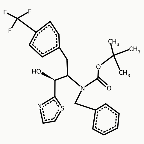 CC(C)(C)OC(=O)N(Cc1ccccc1)C(Cc1ccc(C(F)(F)F)cc1)[C@H](O)c1nccs1